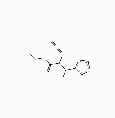 CCOC(=O)C(N=[N+]=[N-])C(O)c1cncs1.[Na]